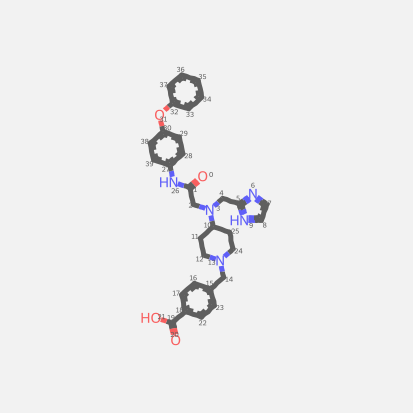 O=C(CN(Cc1ncc[nH]1)C1CCN(Cc2ccc(C(=O)O)cc2)CC1)Nc1ccc(Oc2ccccc2)cc1